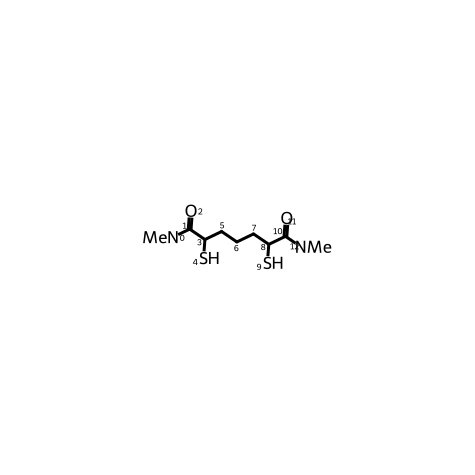 CNC(=O)C(S)CCCC(S)C(=O)NC